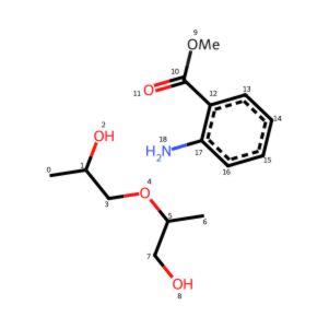 CC(O)COC(C)CO.COC(=O)c1ccccc1N